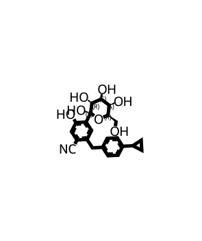 N#Cc1cc(O)c([C@]2(O)O[C@H](CO)[C@@H](O)[C@H](O)[C@H]2O)cc1Cc1ccc(C2CC2)cc1